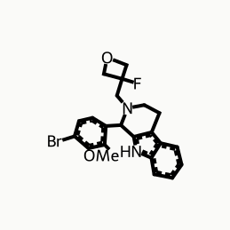 COc1cc(Br)ccc1C1c2[nH]c3ccccc3c2CCN1CC1(F)COC1